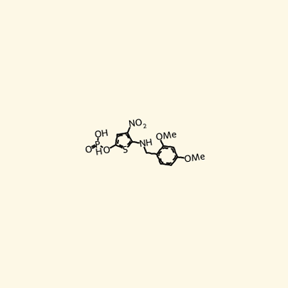 COc1ccc(CNc2sc(O[PH](=O)O)cc2[N+](=O)[O-])c(OC)c1